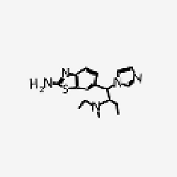 CCC(C(c1ccc2nc(N)sc2c1)n1ccnc1)N(C)CC